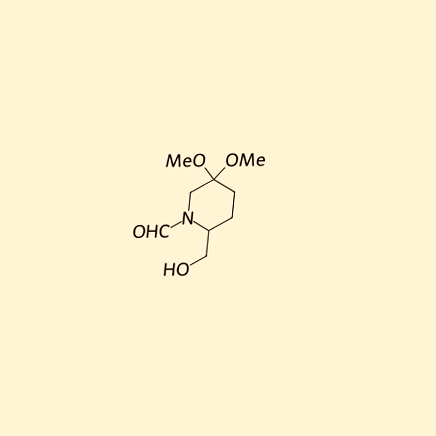 COC1(OC)CCC(CO)N(C=O)C1